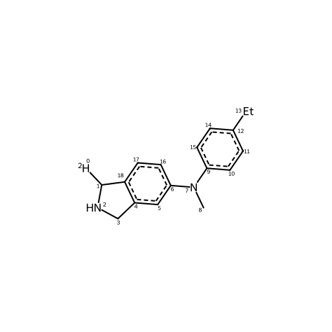 [2H]C1NCc2cc(N(C)c3ccc(CC)cc3)ccc21